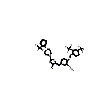 COc1cc(/C=C2\SC(N3CCN(c4ccccc4C(F)(F)F)CC3)=NC2=O)ccc1OCc1ccc(C(F)(F)F)cc1C(F)(F)F